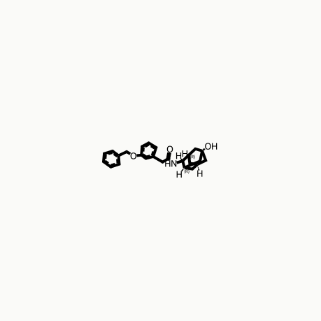 O=C(Cc1cccc(OCc2ccccc2)c1)N[C@H]1[C@@H]2C[C@@H]3C[C@@H]1C[C@](O)(C2)C3